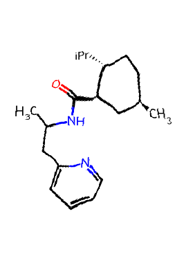 CC(Cc1ccccn1)NC(=O)[C@@H]1C[C@H](C)CC[C@H]1C(C)C